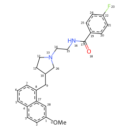 COc1ccc2cccc(CC3CCN(CCNC(=O)c4ccc(F)cc4)C3)c2c1